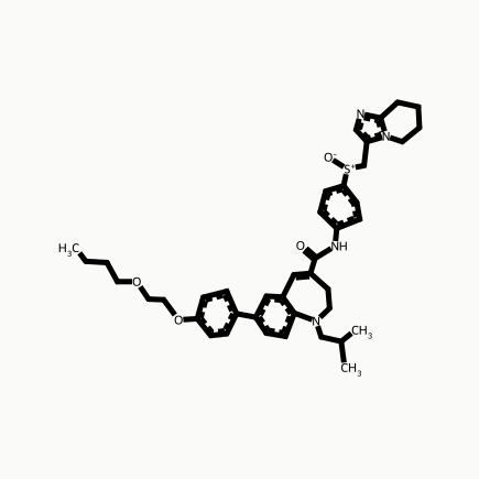 CCCCOCCOc1ccc(-c2ccc3c(c2)C=C(C(=O)Nc2ccc([S+]([O-])Cc4cnc5n4CCCC5)cc2)CCN3CC(C)C)cc1